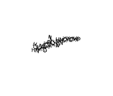 N#Cc1cc(-c2ncnc(Nc3ccc(N4CCN(C5COC5)CC4)cc3)n2)ccc1OC1CCN(C(=O)/C(N)=C/C(=N)Cl)CC1F